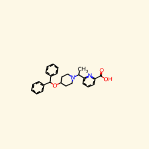 CC(c1cccc(C(=O)O)n1)N1CCC(OC(c2ccccc2)c2ccccc2)CC1